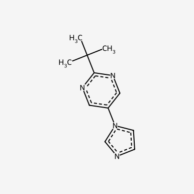 CC(C)(C)c1ncc(-n2ccnc2)cn1